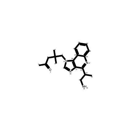 CC(=O)CC(C)(C)Cn1cnc2c(C(C)CN)nc3ccccc3c21